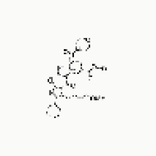 COCCCCn1c(C2CCCCC2)nc(Cl)c1C(=O)N(CC(C)C)[C@H]1C[C@@H](C(=O)N2CCOCC2)CN(C(=O)OC(C)(C)C)C1